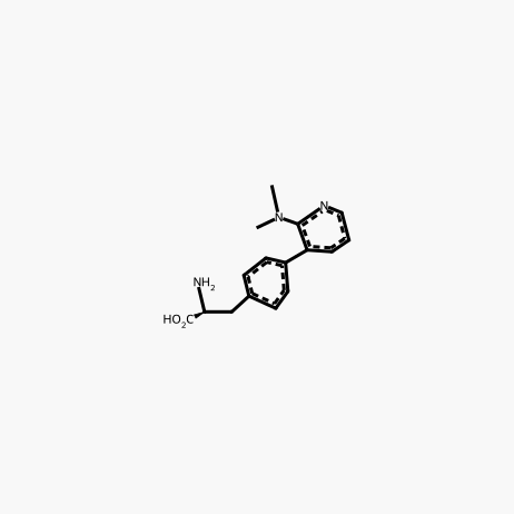 CN(C)c1ncccc1-c1ccc(C[C@H](N)C(=O)O)cc1